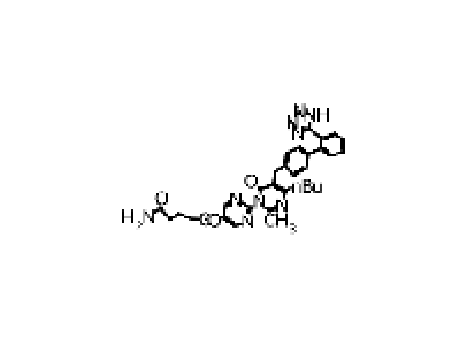 CCCCc1nc(C)n(-c2ncc(OCCCCC(N)=O)cn2)c(=O)c1Cc1ccc(-c2ccccc2-c2nnn[nH]2)cc1